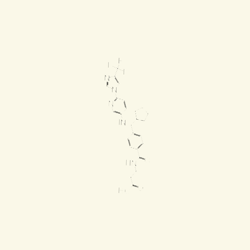 O=C(O)CCNC(=O)c1ccc([C@H](Nc2ccc(-n3cnc(C(F)(F)F)c3)nc2)C2CCCC2)cc1